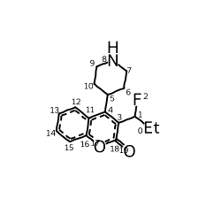 CCC(F)c1c(C2CCNCC2)c2ccccc2oc1=O